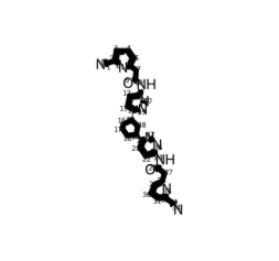 N#Cc1cccc(CC(=O)Nc2ccc([C@H]3CCC[C@H](c4ccc(NC(=O)Cc5cccc(C#N)n5)nn4)C3)nn2)n1